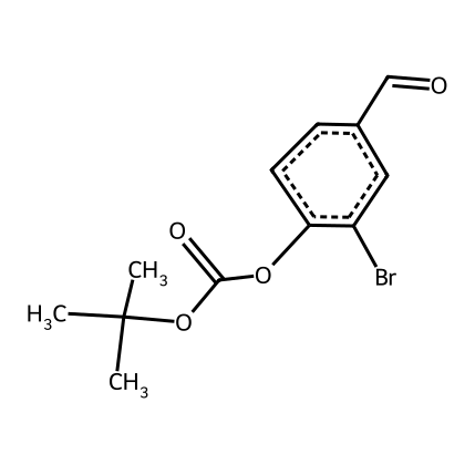 CC(C)(C)OC(=O)Oc1ccc(C=O)cc1Br